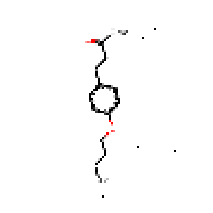 COC(=O)CCc1ccc(OCCCC(C)C)cc1